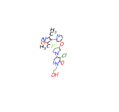 Cc1noc(C)c1-c1cc(O[C@H]2CN(c3cnn(CCO)c(=O)c3Cl)C[C@@H]2F)ccn1